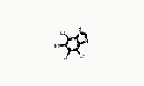 CCc1c(CC)c(CC)c2[nH][c]nc2c1CC